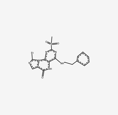 CCc1ncc2c(=O)[nH]c3c(NCCc4ccccc4)nc(S(C)(=O)=O)nc3n12